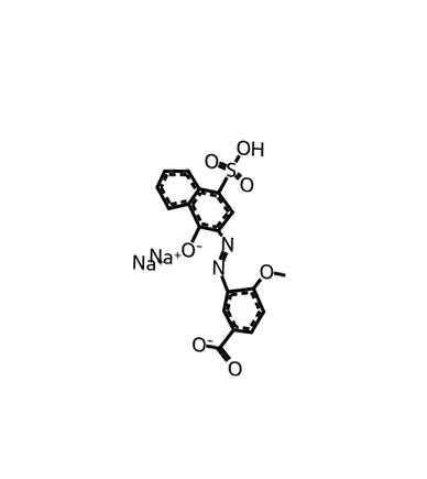 COc1ccc(C(=O)[O-])cc1N=Nc1cc(S(=O)(=O)O)c2ccccc2c1[O-].[Na+].[Na+]